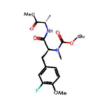 COC(=O)[C@H](C)NC(=O)[C@H](Cc1ccc(OC)c(F)c1)N(C)C(=O)OC(C)(C)C